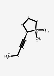 C[N+]1(C)CCC[C@@H]1C#CCN